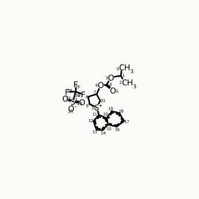 CC(C)OC(=O)OC1CC[S+](c2cccc3ccccc23)C1.O=S(=O)([O-])C(F)(F)F